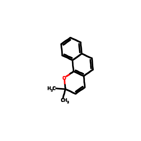 CC1(C)C=Cc2ccc3ccccc3c2O1